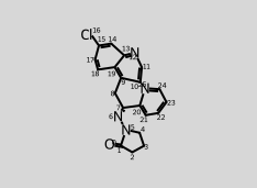 O=C1CCCN1/N=C(/Cc1ccnc2cc(Cl)ccc12)c1ccccn1